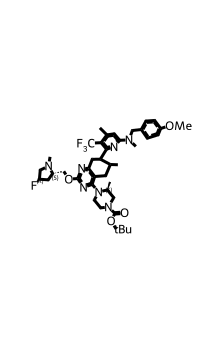 COc1ccc(CN(C)c2cc(C)c(C(F)(F)F)c(C3Cc4nc(OC[C@@H]5C[C@@H](F)CN5C)nc(N5CCN(C(=O)OC(C)(C)C)C[C@@H]5C)c4CC3C)n2)cc1